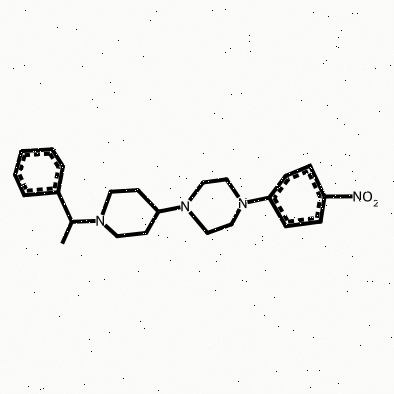 CC(c1ccccc1)N1CCC(N2CCN(c3ccc([N+](=O)[O-])cc3)CC2)CC1